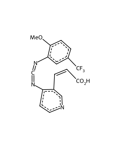 COc1ccc(C(F)(F)F)cc1N=C=Nc1ccncc1C=CC(=O)O